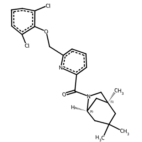 CC1(C)C[C@@H]2C[C@@](C)(CN2C(=O)c2cccc(COc3c(Cl)cccc3Cl)n2)C1